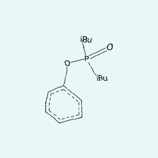 CCC(C)P(=O)(Oc1ccccc1)C(C)CC